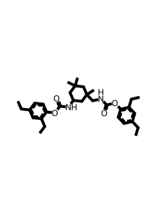 CCc1ccc(OC(=O)NCC2(C)CC(NC(=O)Oc3ccc(CC)cc3CC)CC(C)(C)C2)c(CC)c1